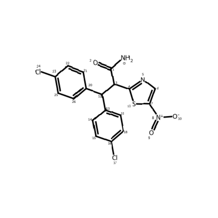 NC(=O)C(c1ncc([N+](=O)[O-])s1)C(c1ccc(Cl)cc1)c1ccc(Cl)cc1